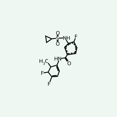 CC1C(NC(=O)c2ccc(F)c(NS(=O)(=O)C3CC3)c2)=CC=C(F)C1F